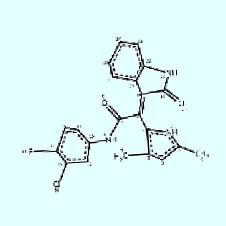 Cc1cc(C)c(/C(C(=O)Nc2ccc(F)c(Cl)c2)=C2\C(=O)Nc3ccccc32)[nH]1